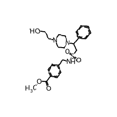 COC(=O)c1ccc(CNS(=O)(=O)CC(c2ccccc2)N2CCN(CCO)CC2)cc1